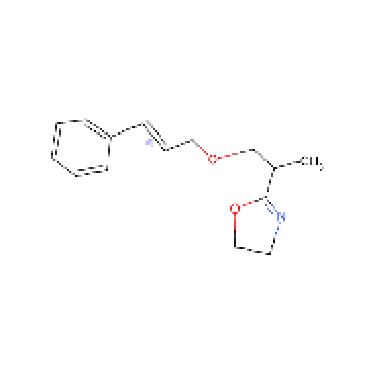 CC(COC/C=C/c1ccccc1)C1=NCCO1